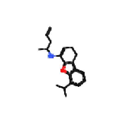 C=CCC(C)NC1=CCCc2c1oc1c(C(C)C)cccc21